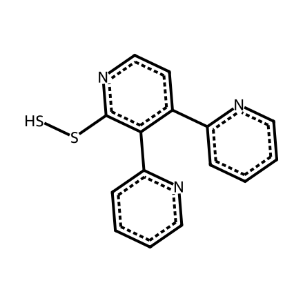 SSc1nccc(-c2ccccn2)c1-c1ccccn1